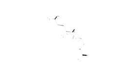 CCNC(=O)CC[C@H](NC(=O)[C@@H](N)CCC(N)=O)C(=O)O